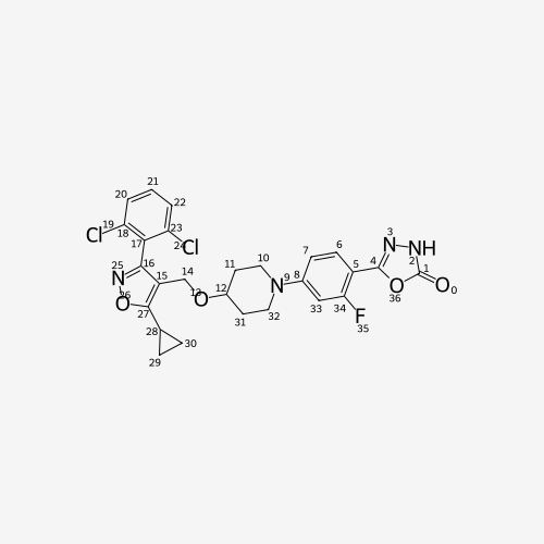 O=c1[nH]nc(-c2ccc(N3CCC(OCc4c(-c5c(Cl)cccc5Cl)noc4C4CC4)CC3)cc2F)o1